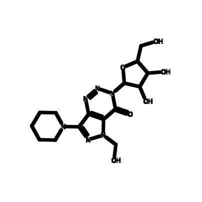 O=c1c2c(nnn1C1OC(CO)C(O)C1O)c(N1CCCCC1)nn2CO